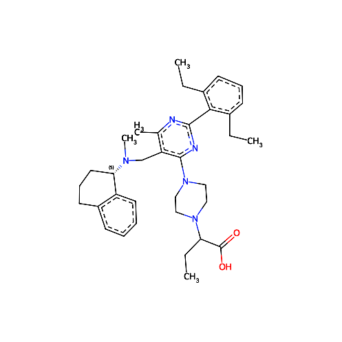 CCc1cccc(CC)c1-c1nc(C)c(CN(C)[C@H]2CCCc3ccccc32)c(N2CCN(C(CC)C(=O)O)CC2)n1